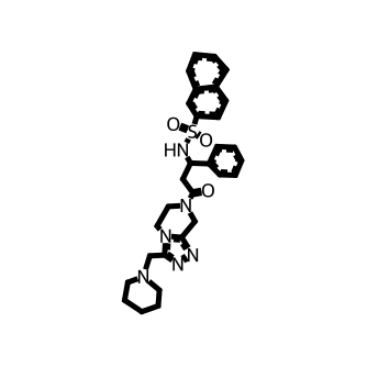 O=C(CC(NS(=O)(=O)c1ccc2ccccc2c1)c1ccccc1)N1CCn2c(CN3CCCCC3)nnc2C1